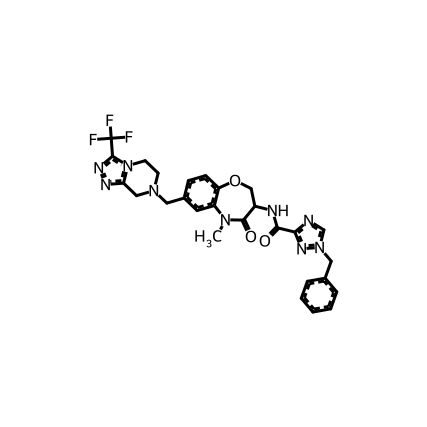 CN1C(=O)C(NC(=O)c2ncn(Cc3ccccc3)n2)COc2ccc(CN3CCn4c(nnc4C(F)(F)F)C3)cc21